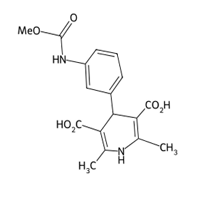 COC(=O)Nc1cccc(C2C(C(=O)O)=C(C)NC(C)=C2C(=O)O)c1